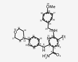 CCc1nc(C(N)=O)c(Nc2ccc(N3CCOCC3)nc2)nc1NCc1ccc(OC)cc1